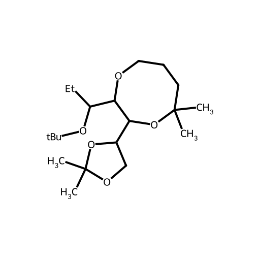 CCC(OC(C)(C)C)C1OCCCC(C)(C)OC1C1COC(C)(C)O1